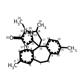 Cc1ccc2c(c1)CCc1cc(C)ccc1C2(CC(C)N)c1nn(C)c(=O)[nH]1